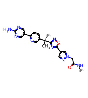 CC(C)NC(=O)Cn1cc(-c2nc([C@@](C)(c3ccc(-c4cnc(N)nc4)nc3)C(C)C)no2)cn1